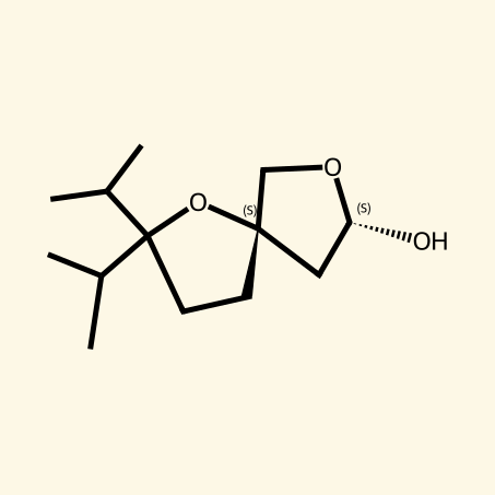 CC(C)C1(C(C)C)CC[C@]2(CO[C@H](O)C2)O1